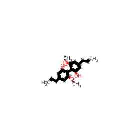 C=CCc1cc(O)c(-c2c(O)cc(CC=C)cc2OC)c(OC)c1